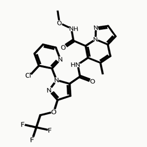 CONC(=O)c1c(NC(=O)c2cc(OCC(F)(F)F)nn2-c2ncccc2Cl)c(C)cc2ccnn12